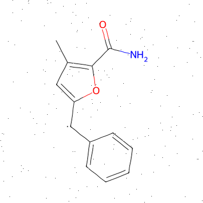 Cc1cc([CH]c2ccccc2)oc1C(N)=O